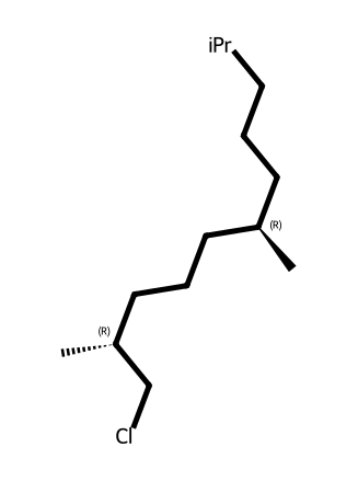 CC(C)CCC[C@@H](C)CCC[C@@H](C)CCl